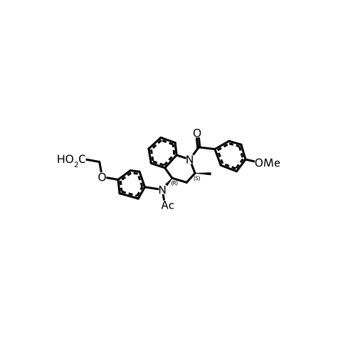 COc1ccc(C(=O)N2c3ccccc3[C@H](N(C(C)=O)c3ccc(OCC(=O)O)cc3)C[C@@H]2C)cc1